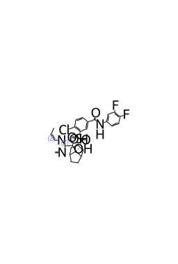 C=N/C(=N\C=C/C)C(O)[C@]1(O)C2CCC1C[C@@H](S(=O)(=O)c1cc(C(=O)Nc3ccc(F)c(F)c3)ccc1Cl)C2